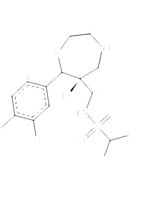 O=S(=O)(NC[C@@]1(O)CNCCOC1c1ccc(Cl)c(Cl)c1)C(F)F